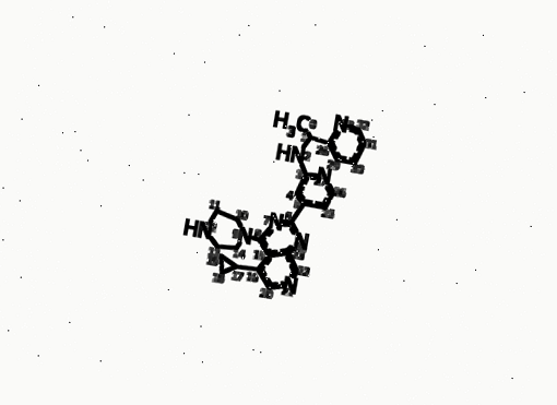 CC(Nc1cc(-c2nc(N3CCNCC3)c3c(C4CC4)cncc3n2)ccn1)c1ccccn1